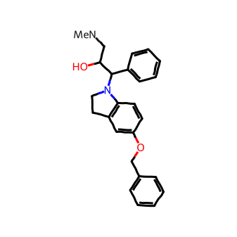 CNCC(O)C(c1ccccc1)N1CCc2cc(OCc3ccccc3)ccc21